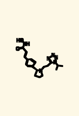 CC(C)n1nnnc1CCN1CCC[C@H]1c1ccc(/C=C/C(=O)NO)cc1